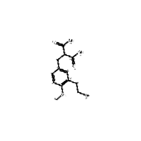 COc1ccc(CC(C(=O)O)C(=O)O)cc1CCO